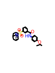 CC(C)Oc1ccc(NC(=O)c2cccc(S(=O)(=O)N3CC4CC5CC(C4)CC3C5)c2)cc1